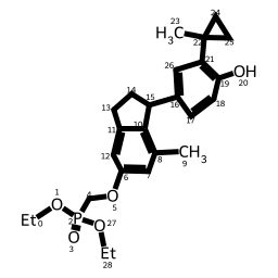 CCOP(=O)(COc1cc(C)c2c(c1)CCC2c1ccc(O)c(C2(C)CC2)c1)OCC